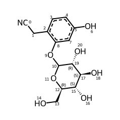 N#CCc1ccc(O)cc1OC1O[C@H](CO)[C@@H](O)[C@H](O)[C@H]1O